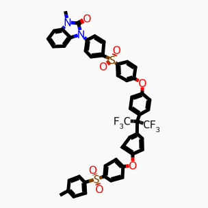 Cc1ccc(S(=O)(=O)c2ccc(Oc3ccc(C(c4ccc(Oc5ccc(S(=O)(=O)c6ccc(-n7c(=O)n(C)c8ccccc87)cc6)cc5)cc4)(C(F)(F)F)C(F)(F)F)cc3)cc2)cc1